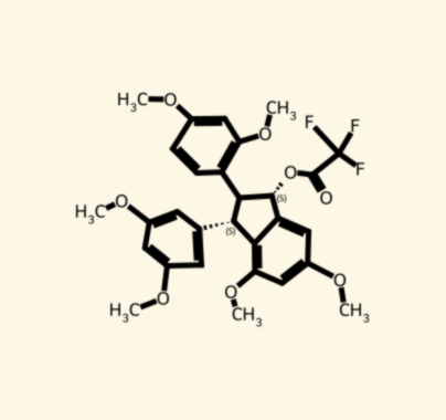 COc1cc(OC)cc([C@H]2c3c(OC)cc(OC)cc3[C@@H](OC(=O)C(F)(F)F)C2c2ccc(OC)cc2OC)c1